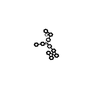 C1=C(c2ccc3c(c2)C2(c4ccccc4-c4ccccc42)c2ccccc2-3)CCC(N(C2=CC=C(c3cccc4c3oc3ccccc34)CC2)c2ccc(-c3ccccc3)cc2)=C1